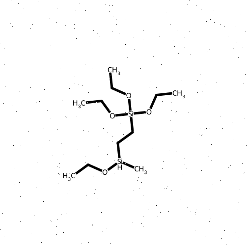 CCO[SiH](C)CC[Si](OCC)(OCC)OCC